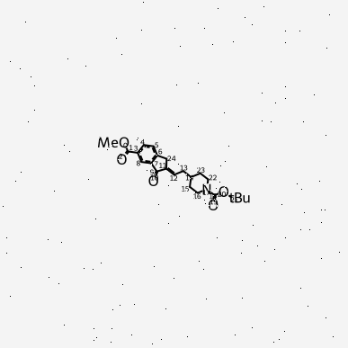 COC(=O)c1ccc2c(c1)C(=O)C(=CCC1CCN(C(=O)OC(C)(C)C)CC1)C2